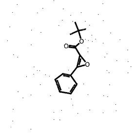 CC(C)(C)OC(=O)C1=C(c2ccccc2)O1